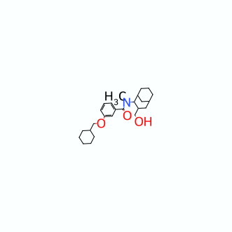 CN(C(=O)c1cccc(OCC2CCCCC2)c1)C1C(CO)CC2CCCC1C2